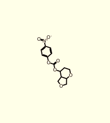 O=C(Oc1ccc([N+](=O)[O-])cc1)OC1CCOC2COCC21